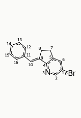 Brc1cnc2c(c1)CCC2=Cc1ccccc1